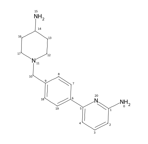 Nc1cccc(-c2ccc(CN3CCC(N)CC3)cc2)n1